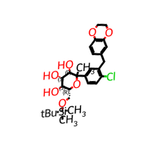 CC1(c2ccc(Cl)c(Cc3ccc4c(c3)OCCO4)c2)O[C@H](CO[Si](C)(C)C(C)(C)C)[C@@H](O)[C@H](O)[C@H]1O